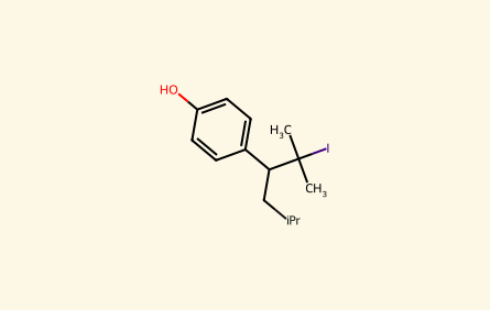 CC(C)CC(c1ccc(O)cc1)C(C)(C)I